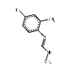 CN/C=N/c1ccc(Br)cc1C